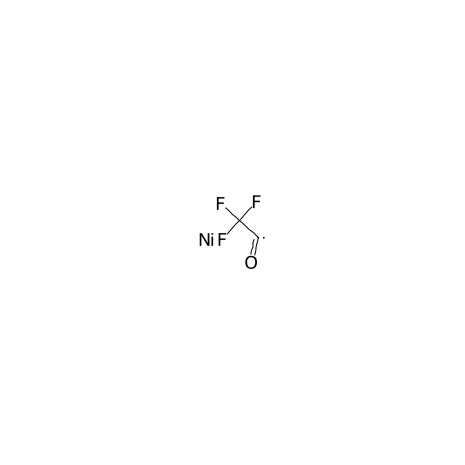 O=[C]C(F)(F)F.[Ni]